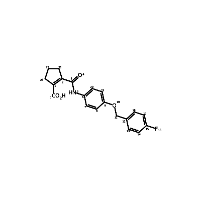 O=C(O)C1=C(C(=O)Nc2ccc(OCc3ccc(F)cc3)cc2)CCC1